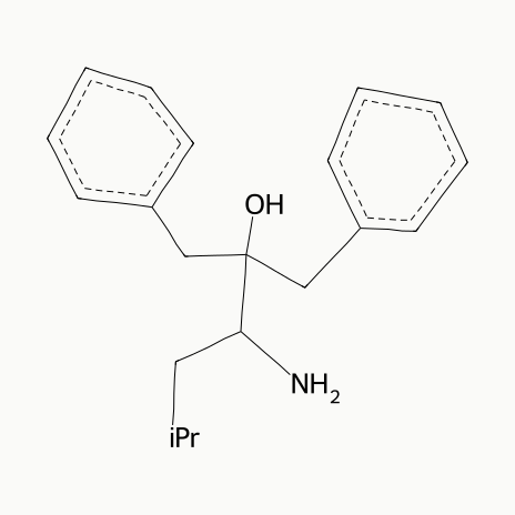 CC(C)CC(N)C(O)(Cc1ccccc1)Cc1ccccc1